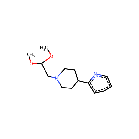 COC(CN1CCC(c2ccccn2)CC1)OC